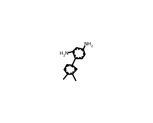 Cc1ccc(-c2ccc(N)cc2N)cc1C